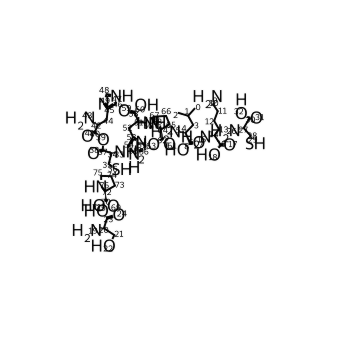 CC(C)C[C@H](N)C(=O)O.NCCCC[C@H](N)C(=O)O.N[C@@H](CO)C(=O)O.N[C@@H](CS)C(=O)O.N[C@@H](CS)C(=O)OC(=O)[C@@H](N)Cc1c[nH]cn1.N[C@@H](Cc1c[nH]cn1)C(=O)O.O=C(O)[C@@H]1CCCN1.O=C(O)[C@@H]1CCCN1